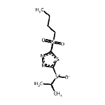 CCCCS(=O)(=O)c1nnc([S+]([O-])C(C)C)s1